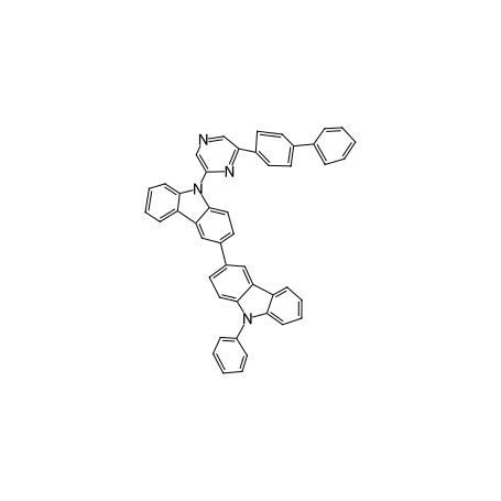 c1ccc(-c2ccc(-c3cncc(-n4c5ccccc5c5cc(-c6ccc7c(c6)c6ccccc6n7-c6ccccc6)ccc54)n3)cc2)cc1